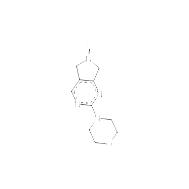 CN1Cc2cnc(N3CCOCC3)nc2C1